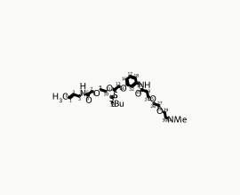 C/C=C/CNC(=O)COCCOC(COc1cccc(NC(=O)CCOCCOCCNC)c1)SSC(C)(C)C